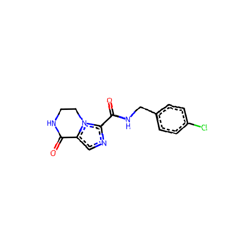 O=C1NCCn2c1cnc2C(=O)NCc1ccc(Cl)cc1